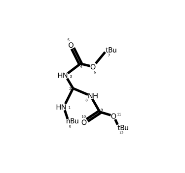 CCCCNC(NC(=O)OC(C)(C)C)NC(=O)OC(C)(C)C